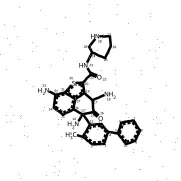 Cc1ccc(-c2ccccc2)cc1C1(N)C(=O)C(N)c2c(C(=O)NC3CCCNC3)sc3c(N)ccc1c23